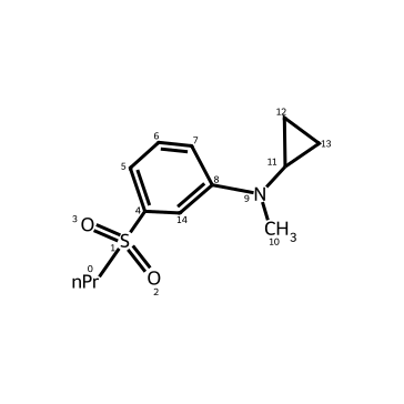 CCCS(=O)(=O)c1cccc(N(C)C2CC2)c1